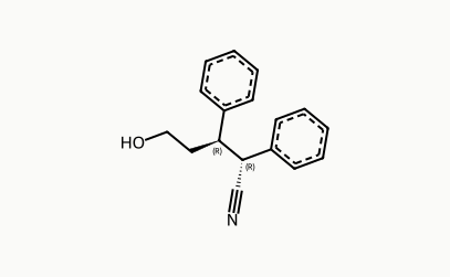 N#C[C@@H](c1ccccc1)[C@@H](CCO)c1ccccc1